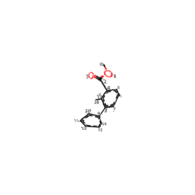 COC(=O)c1cccc(-c2ccccc2)c1C